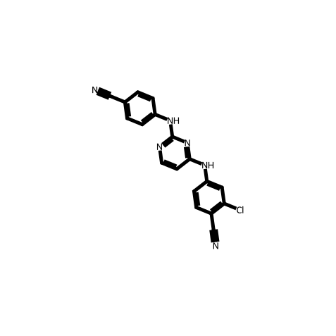 N#Cc1ccc(Nc2nccc(Nc3ccc(C#N)c(Cl)c3)n2)cc1